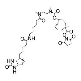 CN(CCN(C)C(=O)OC1/C=C/CCC(C)(C(=O)ON2C(=O)CCC2=O)CC1)C(=O)CCCCCNC(=O)CCCCC1SCC2NC(=O)NC21